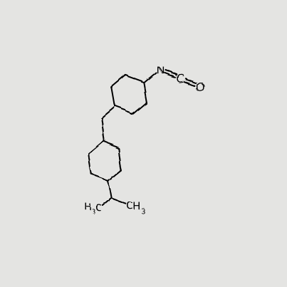 CC(C)C1CCC(CC2CCC(N=C=O)CC2)CC1